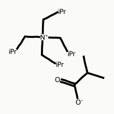 CC(C)C(=O)[O-].CC(C)C[N+](CC(C)C)(CC(C)C)CC(C)C